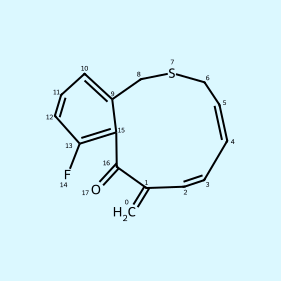 C=C1/C=C\C=C/CSCc2cccc(F)c2C1=O